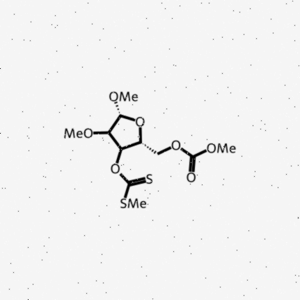 COC(=O)OC[C@H]1O[C@@H](OC)C(OC)C1OC(=S)SC